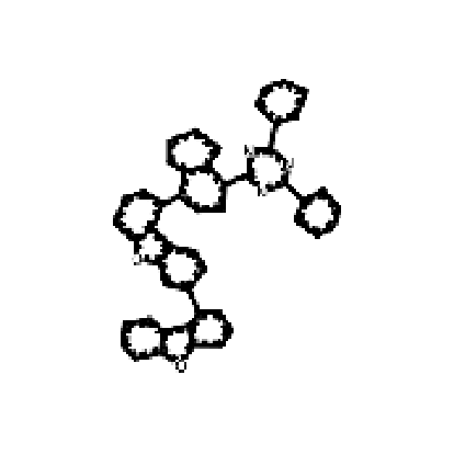 c1ccc(-c2nc(-c3ccccc3)nc(-c3ccc(-c4cccc5oc6cc(-c7cccc8oc9ccccc9c78)ccc6c45)c4ccccc34)n2)cc1